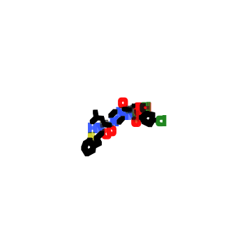 CC(C)C[C@H](NC(=O)c1cc2ccccc2s1)C(=O)N1CCN(C(=O)[C@H](CO)NS(=O)(=O)c2ccc(Cl)cc2Cl)CC1